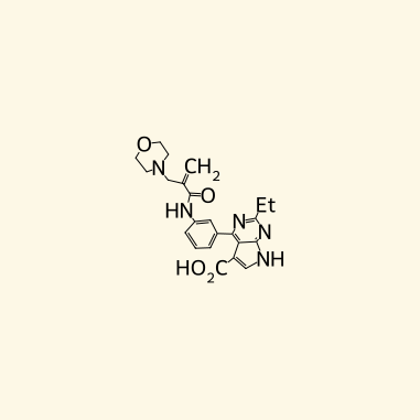 C=C(CN1CCOCC1)C(=O)Nc1cccc(-c2nc(CC)nc3[nH]cc(C(=O)O)c23)c1